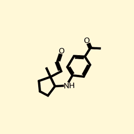 CC(=O)c1ccc(NC2CCCC2(C)C=C=O)cc1